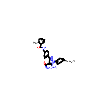 COc1ccccc1C(=O)NCc1ccc(-c2nn(-c3ccc(C(=O)O)cc3)c(N)c2C(N)=O)cc1